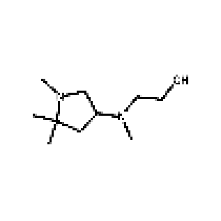 CN(CCO)C1CN(C)C(C)(C)C1